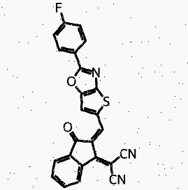 N#CC(C#N)=C1/C(=C/c2cc3oc(-c4ccc(F)cc4)nc3s2)C(=O)c2ccccc21